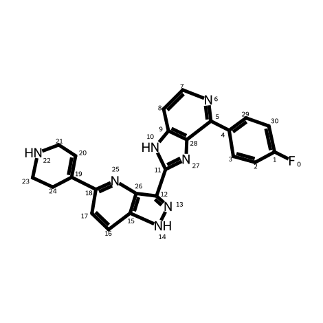 Fc1ccc(-c2nccc3[nH]c(-c4n[nH]c5ccc(C6=CCNCC6)nc45)nc23)cc1